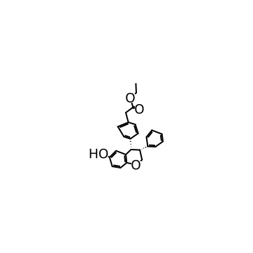 CCOC(=O)Cc1ccc([C@H]2c3cc(O)ccc3OC[C@H]2c2ccccc2)cc1